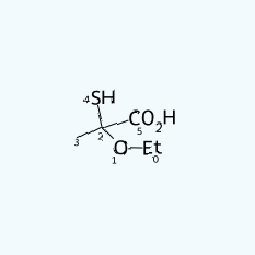 CCOC(C)(S)C(=O)O